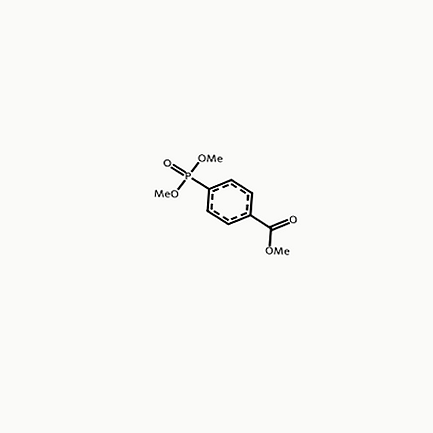 COC(=O)c1ccc(P(=O)(OC)OC)cc1